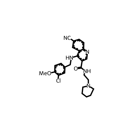 COc1ccc(CNc2c(C(=O)NCCN3CCCCC3)cnc3ccc(C#N)cc23)cc1Cl